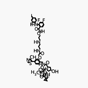 Cc1ncsc1-c1ccc(CNC(=O)C2C[C@@H](O)CN2C(=O)[C@@H](NC(=O)C2(F)CC2)C(C)(C)C)c(OCC(=O)NCCCNCCCONC(=O)c2ccc(F)c(F)c2Nc2ccc(I)cc2F)c1